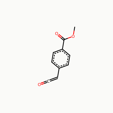 COC(=O)c1ccc(C=C=O)cc1